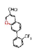 O=CC1=Cc2ccc(-c3ccccc3C(F)(F)F)cc2OC1